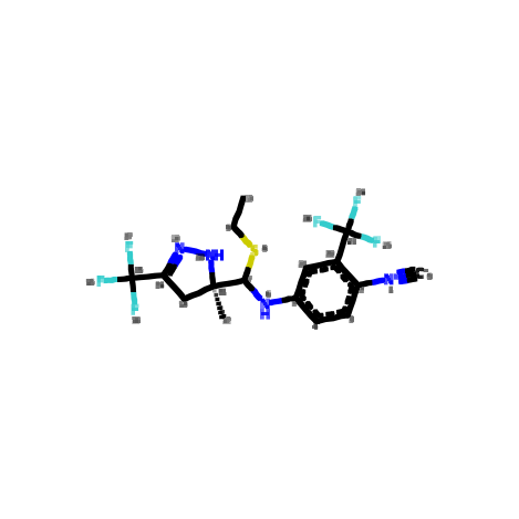 [C-]#[N+]c1ccc(NC(SCC)[C@@]2(C)CC(C(F)(F)F)=NN2)cc1C(F)(F)F